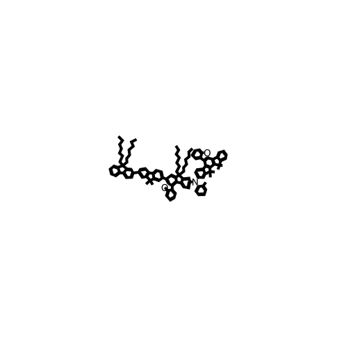 CCCCCCCC1(CCCCCCC)c2ccccc2-c2ccc(-c3ccc4c(c3)C(C)(C)c3cc(-c5cc6c(c7c5oc5ccccc57)-c5ccc(N(c7ccc8c(c7)C(C)(C)c7c9c(c%10oc%11ccccc%11c%10c7-8)-c7ccccc7C9(C)C)c7ccccc7C)cc5C6(CCCCCCC)CCCCCCC)ccc3-4)cc21